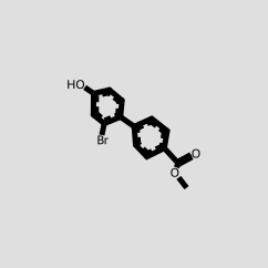 COC(=O)c1ccc(-c2ccc(O)cc2Br)cc1